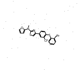 CC(C)c1ccccc1Sc1ccc(-c2csc(N(C)c3ccco3)n2)cc1C(F)(F)F